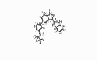 CC(C)(C)C(=O)Nc1cncc(-c2cc(F)c3[nH]nc(-c4nc5cccnc5[nH]4)c3c2)c1